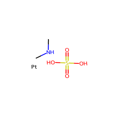 CNC.O=S(=O)(O)O.[Pt]